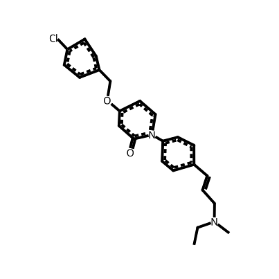 CCN(C)C/C=C/c1ccc(-n2ccc(OCc3ccc(Cl)cc3)cc2=O)cc1